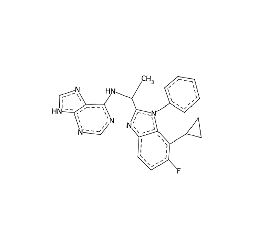 CC(Nc1ncnc2[nH]cnc12)c1nc2ccc(F)c(C3CC3)c2n1-c1ccccc1